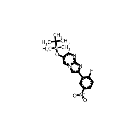 CC(C)(C)[Si](C)(C)Oc1cnc2nc(-c3cc([N+](=O)[O-])ccc3F)cn2c1